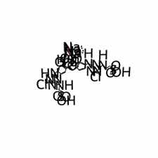 O=S(=O)(O)CCNc1nc(Cl)nc(Nc2ccc(C=Cc3ccc(Nc4nc(Cl)nc(NCCS(=O)(=O)O)n4)cc3S(=O)(=O)O)c(S(=O)(=O)O)c2)n1.[Na].[Na].[Na].[Na]